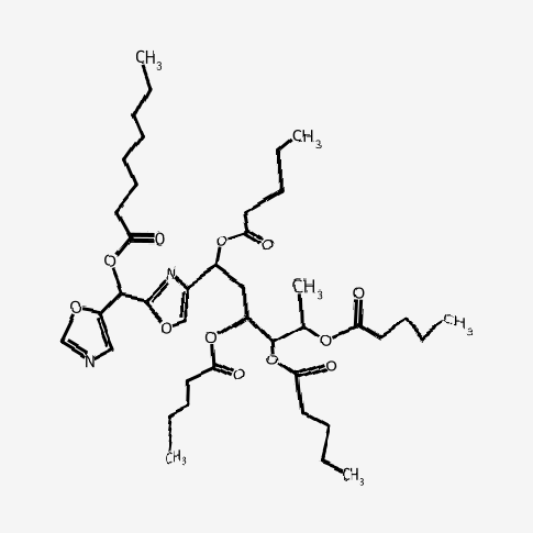 CCCCCCCC(=O)OC(c1cnco1)c1nc(C(CC(OC(=O)CCCC)C(OC(=O)CCCC)C(C)OC(=O)CCCC)OC(=O)CCCC)co1